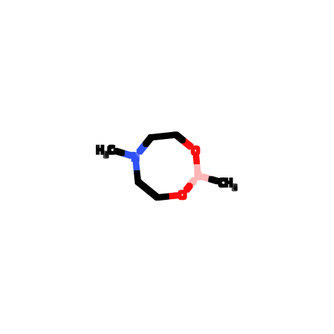 CB1OCCN(C)CCO1